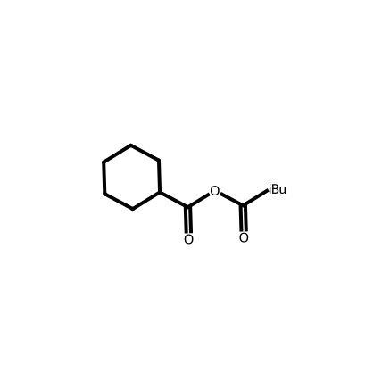 CCC(C)C(=O)OC(=O)C1CCCCC1